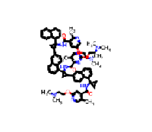 Cc1cnc(OCCN(C)C)cc1C(=O)NC1(c2cccc3cc(C4CC4(NC(=O)c4nc(OCCN(C)C)ncc4C)c4cccc5cc(C6CC6(NC(=O)c6cc(OCCN(C)C)cnc6C)c6cccc7ccccc67)ccc45)ccc23)CC1